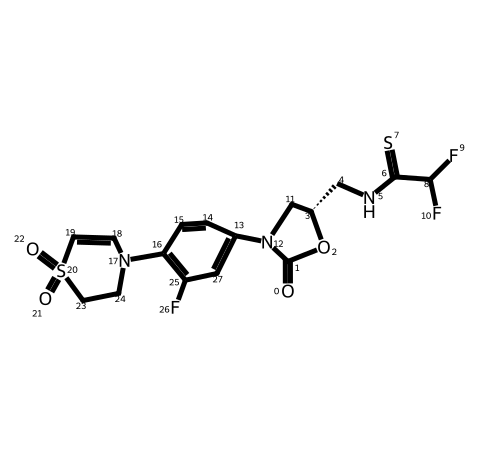 O=C1O[C@@H](CNC(=S)C(F)F)CN1c1ccc(N2C=CS(=O)(=O)CC2)c(F)c1